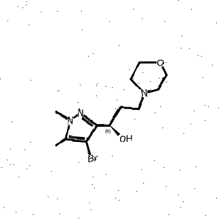 Cc1c(Br)c([C@H](O)CCN2CCOCC2)nn1C